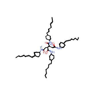 CCCCCCCC1CCC(NC(=O)CC(C(=O)NC2CCC(CCCCCCC)CC2)C(CC(=O)NC2CCC(CCCCCCC)CC2)C(=O)NC2CCC(CCCCCCC)CC2)CC1